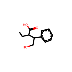 CCC(C(=O)O)C(CO)c1ccccc1